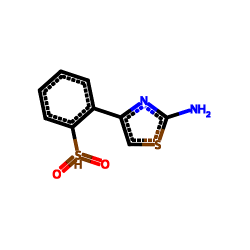 Nc1nc(-c2ccccc2[SH](=O)=O)cs1